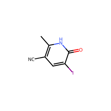 Cc1[nH]c(=O)c(I)cc1C#N